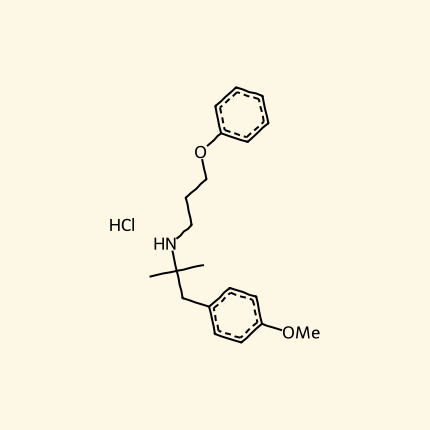 COc1ccc(CC(C)(C)NCCCOc2ccccc2)cc1.Cl